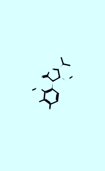 COc1c([C@H]2C(=O)O[C@@H](C(C)C)[C@H]2OC)ccc(F)c1F